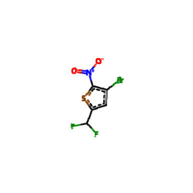 O=[N+]([O-])c1sc(C(F)F)cc1Br